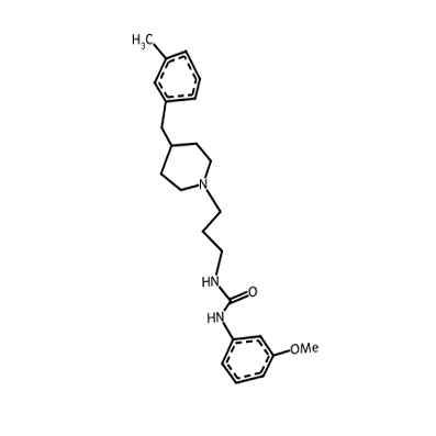 COc1cccc(NC(=O)NCCCN2CCC(Cc3cccc(C)c3)CC2)c1